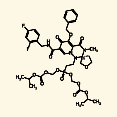 CC(C)OC(=O)OCOP(=O)(CCN1n2cc(C(=O)NCc3ccc(F)cc3F)c(=O)c(OCc3ccccc3)c2C(=O)N(C)[C@]12CCOC2)OCOC(=O)OC(C)C